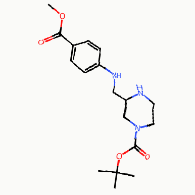 COC(=O)c1ccc(NCC2CN(C(=O)OC(C)(C)C)CCN2)cc1